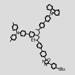 CCC(CC(CC(C)c1ccc(-c2ccc(-n3c4ccccc4c4ccccc43)cc2)cc1)c1ccc(-c2ccc(N(c3ccc(C)cc3)c3ccc(C)cc3)cc2)cc1)c1ccc(-c2ccc(-c3nnc(-c4ccc(C(C)(C)C)cc4)o3)cc2)cc1